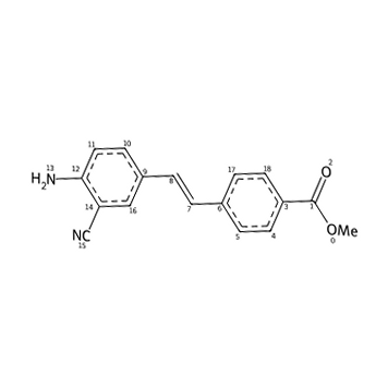 COC(=O)c1ccc(C=Cc2ccc(N)c(C#N)c2)cc1